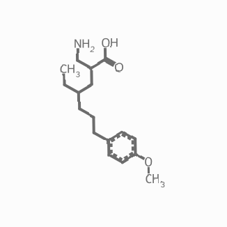 CCC(CCCc1ccc(OC)cc1)CC(CN)C(=O)O